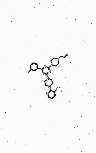 C=CCN1CCN(c2nc(-c3cccc(C)c3)nc(N3CCN(c4ncccc4C(F)(F)F)CC3)n2)CC1